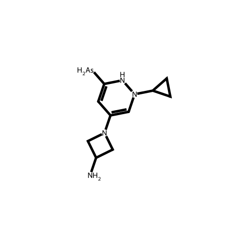 NC1CN(C2=CN(C3CC3)NC([AsH2])=C2)C1